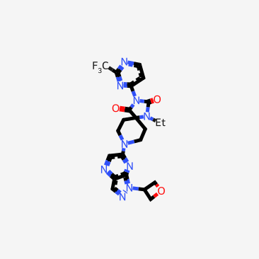 CCN1C(=O)N(c2ccnc(C(F)(F)F)n2)C(=O)C12CCN(c1cnc3cnn(C4COC4)c3n1)CC2